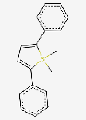 CS1(C)C(c2ccccc2)=CC=C1c1ccccc1